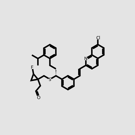 CC(C)c1ccccc1CC[C@@H](SCC1(CC=O)CC1F)c1cccc(/C=C/c2ccc3ccc(Cl)cc3n2)c1